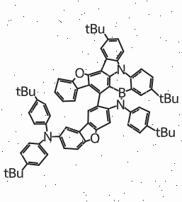 CC(C)(C)c1ccc(N2B3c4cc(C(C)(C)C)ccc4-n4c5ccc(C(C)(C)C)cc5c5c6oc7ccccc7c6c(c3c54)-c3cc4c(cc32)oc2ccc(N(c3ccc(C(C)(C)C)cc3)c3ccc(C(C)(C)C)cc3)cc24)cc1